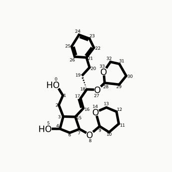 OCCC1C(O)CC(OC2CCCCO2)C1C=C[C@H](CCc1ccccc1)OC1CCCCO1